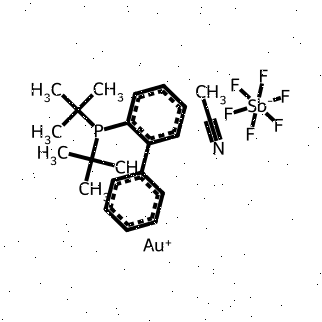 CC#N.CC(C)(C)P(c1ccccc1-c1ccccc1)C(C)(C)C.[Au+].[F][Sb-]([F])([F])([F])([F])[F]